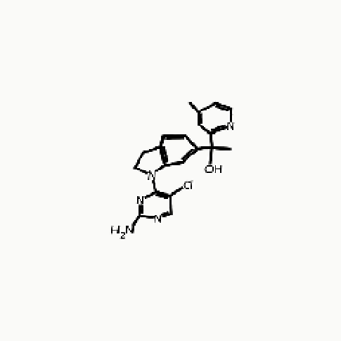 Cc1ccnc(C(C)(O)c2ccc3c(c2)N(c2nc(N)ncc2Cl)CC3)c1